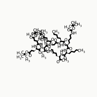 CCCCC[C@H](NC(=O)[C@H](CCCCC)NC(=O)[C@H](CCCCNC(=O)OC(C)(C)C)NC(=O)[C@H](CCCCC)NC(=O)CNC(=O)[C@H](CC(=O)OC(C)(C)C)NC(=O)[C@@H](NC(=O)[C@H](CCC(=O)OC(C)(C)C)NC(=O)[C@@H](N)CC(=O)OC(C)(C)C)C(C)C)C(C)=O